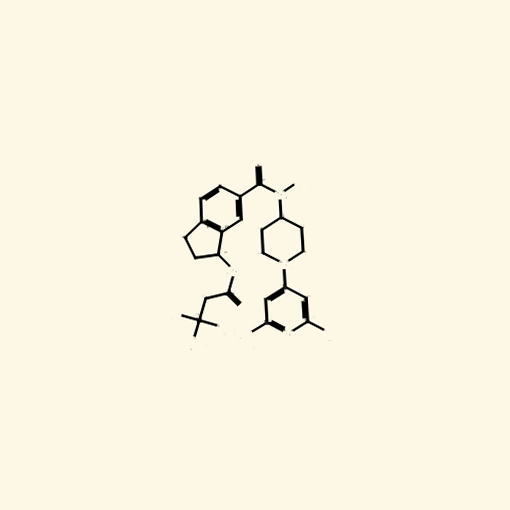 Cc1cc(N2CCC(N(C)C(=O)c3ccc4c(c3)C(NC(=O)CC(C)(C)C)CC4)CC2)cc(C)n1